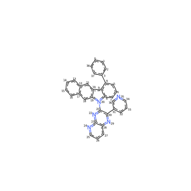 c1ccc(-c2cccc3c2c2cc4ccccc4cc2n3-c2nc3ncccc3nc2-c2cccnc2)cc1